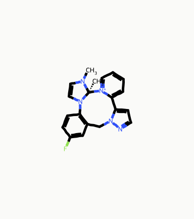 CN1C=CN2c3ccc(F)cc3Cn3nccc3-c3cccc[n+]3[C@]12C